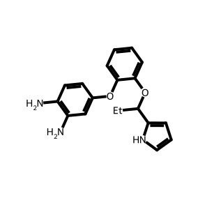 CCC(Oc1ccccc1Oc1ccc(N)c(N)c1)c1ccc[nH]1